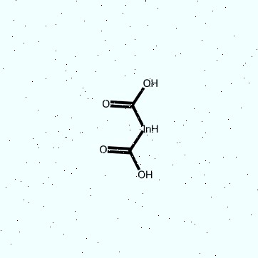 O=[C](O)[InH][C](=O)O